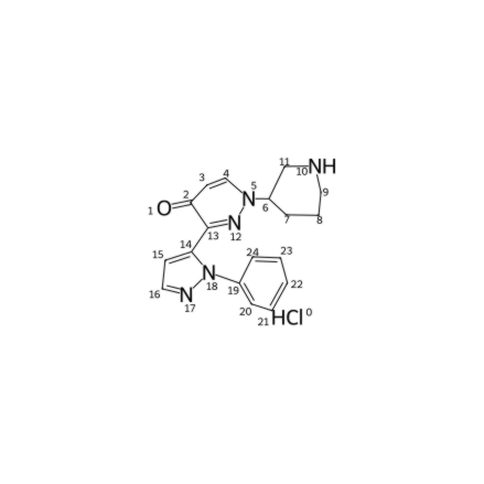 Cl.O=c1ccn(C2CCCNC2)nc1-c1ccnn1-c1ccccc1